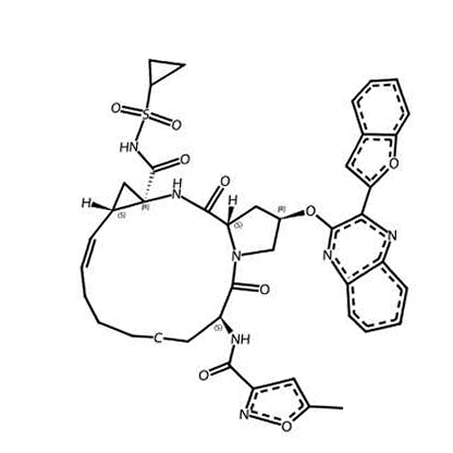 Cc1cc(C(=O)N[C@H]2CCCCCC=C[C@@H]3C[C@@]3(C(=O)NS(=O)(=O)C3CC3)NC(=O)[C@@H]3C[C@@H](Oc4nc5ccccc5nc4-c4cc5ccccc5o4)CN3C2=O)no1